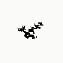 CC(F)(F)CNC(=O)Cn1c([N+](=O)[O-])cnc1CO